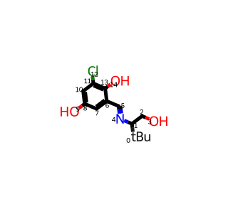 CC(C)(C)C(CO)/N=C/c1cc(O)cc(Cl)c1O